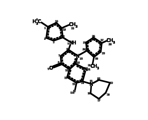 Cc1ccc(Nc2cc(=O)c3cc(F)c(N4CCCCC4)nc3n2-c2ccc(C)cc2C)c(C)c1